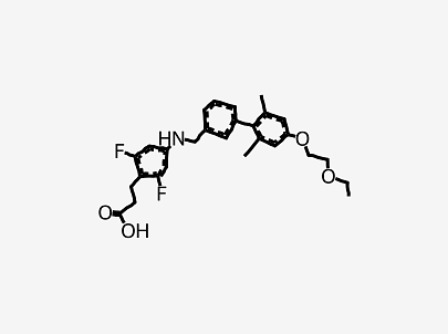 CCOCCOc1cc(C)c(-c2cccc(CNc3cc(F)c(CCC(=O)O)c(F)c3)c2)c(C)c1